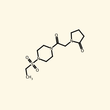 CCS(=O)(=O)N1CCN(C(=O)CN2CCCC2=O)CC1